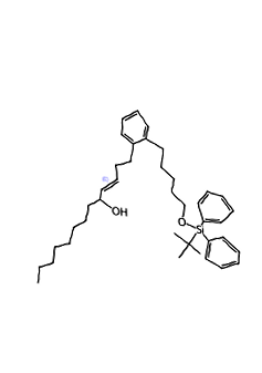 CCCCCCCCC(O)/C=C/CCc1ccccc1CCCCCO[Si](c1ccccc1)(c1ccccc1)C(C)(C)C